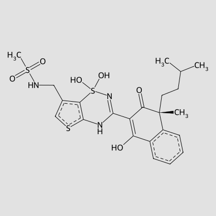 CC(C)CC[C@@]1(C)C(=O)C(C2=NS(O)(O)c3c(CNS(C)(=O)=O)csc3N2)=C(O)c2ccccc21